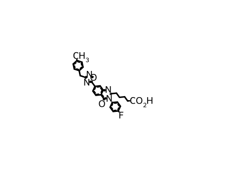 Cc1ccc(Cc2noc(-c3ccc4c(=O)n(-c5ccc(F)cc5)c(CCCCC(=O)O)nc4c3)n2)cc1